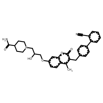 Cc1c(Cc2ccc(-c3ccccc3C#N)cc2)c(=O)oc2cc(OCC(O)CN3CCC(C(N)=O)CC3)ccc12